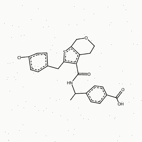 CC(NC(=O)c1c(Cc2ccc(Cl)cc2)sc2c1CCOC2)c1ccc(C(=O)O)cc1